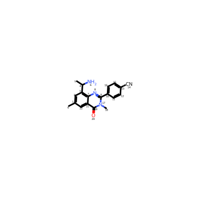 Cc1cc(C(C)N)c2nc(-c3ccc(C#N)cc3)n(C)c(=O)c2c1